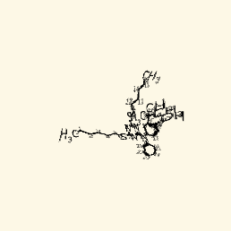 CCCCCCSc1nc(SCCCCCC)nc(N(c2ccccc2)c2ccc(O)c(C(C)(C)C)c2)n1